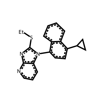 CCSc1nc2ncccc2n1-c1ccc(C2CC2)c2ccccc12